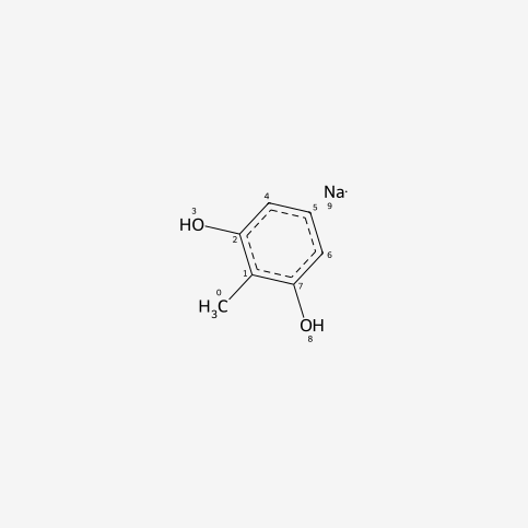 Cc1c(O)cccc1O.[Na]